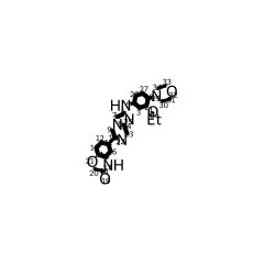 CCOc1cc(Nc2cn3cc(-c4ccc5c(c4)NC(=O)CO5)ncc3n2)ccc1N1CCOCC1